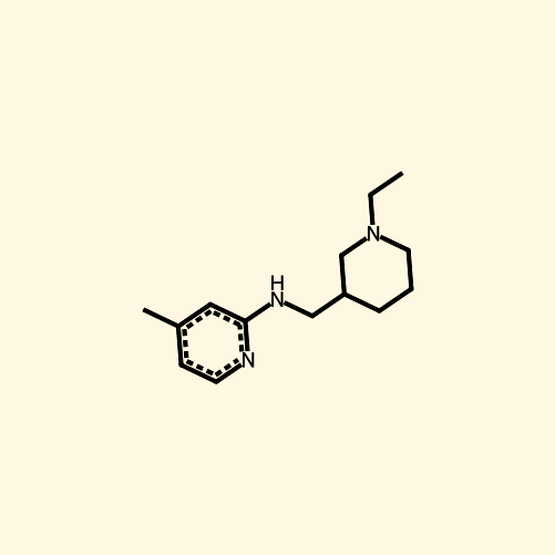 CCN1CCCC(CNc2cc(C)ccn2)C1